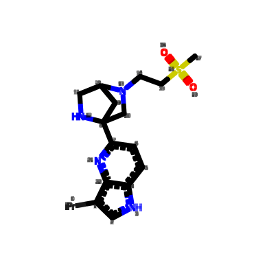 CC(C)c1c[nH]c2ccc(C34CC(CN3)N(CCS(C)(=O)=O)C4)nc12